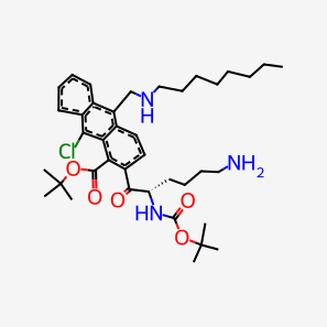 CCCCCCCCNCc1c2ccccc2c(Cl)c2c(C(=O)OC(C)(C)C)c(C(=O)[C@H](CCCCN)NC(=O)OC(C)(C)C)ccc12